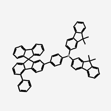 CC1(C)c2ccccc2-c2ccc(N(c3ccc(-c4ccc5c(c4)C4(c6ccccc6-c6ccccc64)c4cccc(-c6ccccc6)c4-5)cc3)c3ccc4c(c3)C(C)(C)c3ccccc3-4)cc21